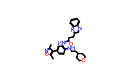 Cc1noc(C)c1-c1ccc(NCCC2CCOCC2)c(NC(=O)CCc2cnc3ccccc3n2)c1